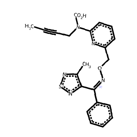 CC#CCN(C(=O)O)c1cccc(CO/N=C(/c2ccccc2)c2nsnc2C)n1